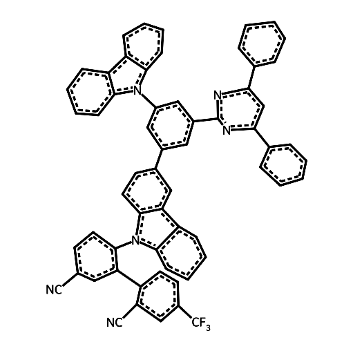 N#Cc1ccc(-n2c3ccccc3c3cc(-c4cc(-c5nc(-c6ccccc6)cc(-c6ccccc6)n5)cc(-n5c6ccccc6c6ccccc65)c4)ccc32)c(-c2ccc(C(F)(F)F)cc2C#N)c1